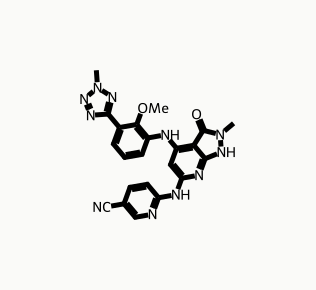 COc1c(Nc2cc(Nc3ccc(C#N)cn3)nc3[nH]n(C)c(=O)c23)cccc1-c1nnn(C)n1